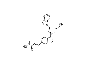 O=C(C=Cc1ccc2c(c1)CCC2N(CCCO)CCn1ccc2ccccc21)NO